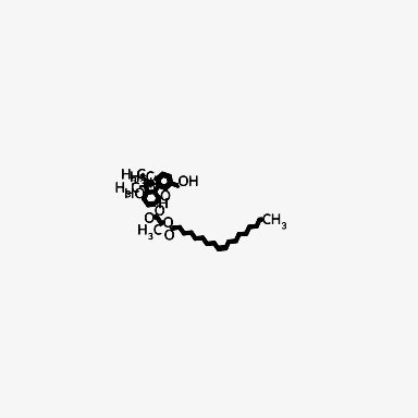 CCCCCCCC/C=C\CCCCCCCC(=O)O[C@@H](C)C(=O)OC1=CC[C@@]2(O)[C@@H](C)N(C)CC[C@@]23c2c(C)ccc(CO)c2O[C@@H]13